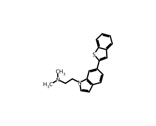 CN(C)CCn1ccc2ccc(-c3cc4ccccc4s3)cc21